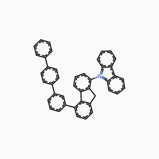 c1ccc(-c2ccc(-c3cccc(-c4cccc5c4-c4cccc(-n6c7ccccc7c7ccccc76)c4C5)c3)cc2)cc1